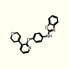 C1=C(c2cccnc2Oc2ccc(Nc3nc4ccccc4o3)cc2)CCOC1